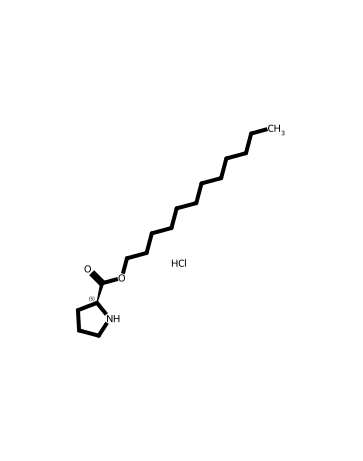 CCCCCCCCCCCCOC(=O)[C@@H]1CCCN1.Cl